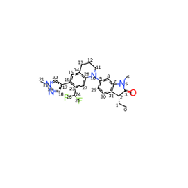 CC[C@H]1C(=O)N(C)c2cc(N3CCCc4cc(-c5cnn(C)c5)c(C(F)F)cc43)ccc21